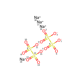 O=S(=O)([O-])S(=O)(=O)[O-].O=S(=O)([O-])S(=O)(=O)[O-].[Na+].[Na+].[Na+].[Na+]